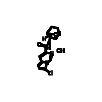 Cl.O=C(N[C@H]1CN2CCC1CC2)c1cc2ccc(Cl)n2cn1